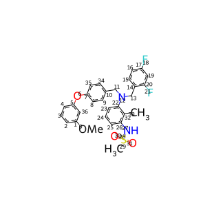 COc1cccc(Oc2ccc(CN(Cc3ccc(F)cc3F)c3cccc(NS(C)(=O)=O)c3C)cc2)c1